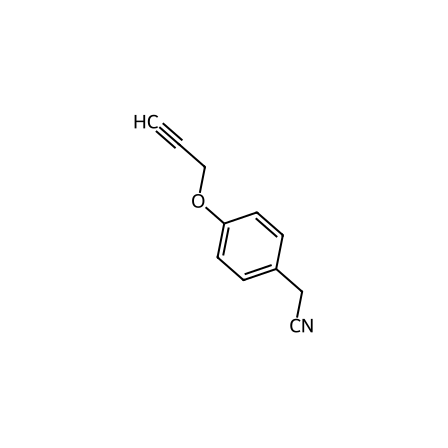 C#CCOc1ccc(CC#N)cc1